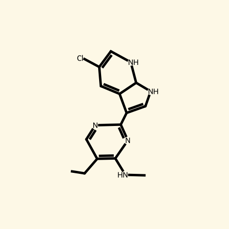 CCc1cnc(C2=CNC3NC=C(Cl)C=C23)nc1NC